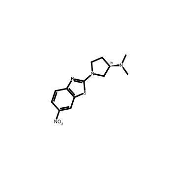 CN(C)[C@@H]1CCN(c2nc3ccc([N+](=O)[O-])cc3s2)C1